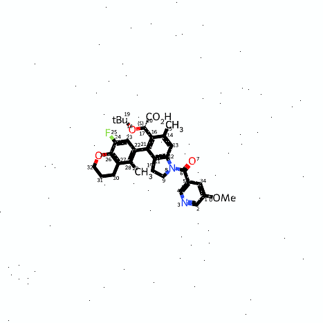 COc1cncc(C(=O)N2CCc3c2cc(C)c([C@H](OC(C)(C)C)C(=O)O)c3-c2cc(F)c3c(c2C)CCCO3)c1